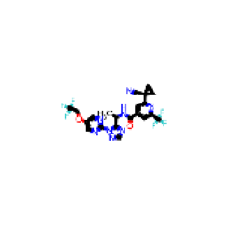 CC(NC(=O)c1cc(C(F)(F)F)nc(C2(C#N)CC2)c1)c1ncnn1-c1ncc(OCC(F)(F)F)cn1